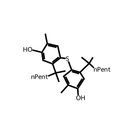 CCCCCC(C)(C)c1cc(O)c(C)cc1Sc1cc(C)c(O)cc1C(C)(C)CCCCC